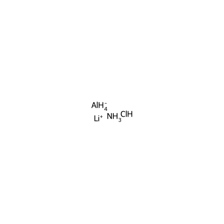 Cl.N.[AlH4-].[Li+]